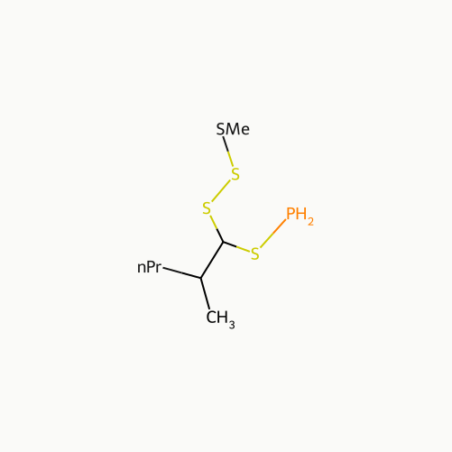 CCCC(C)C(SP)SSSC